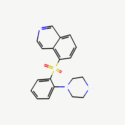 O=S(=O)(c1ccccc1N1CCNCC1)c1cccc2cnccc12